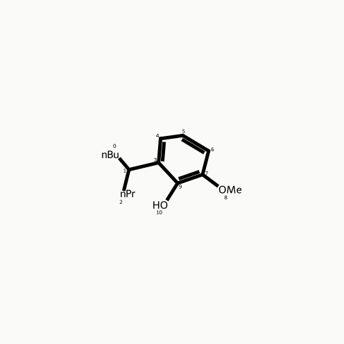 CCCCC(CCC)c1cccc(OC)c1O